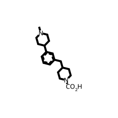 CN1CCC(c2cccc(CC3CCN(C(=O)O)CC3)c2)CC1